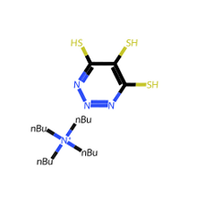 CCCC[N+](CCCC)(CCCC)CCCC.Sc1nnnc(S)c1S